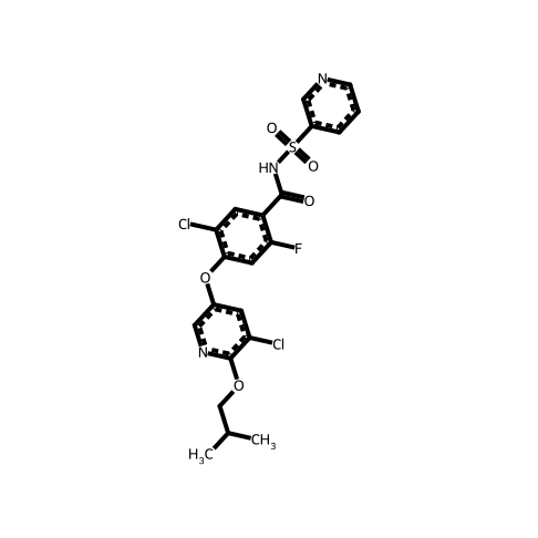 CC(C)COc1ncc(Oc2cc(F)c(C(=O)NS(=O)(=O)c3cccnc3)cc2Cl)cc1Cl